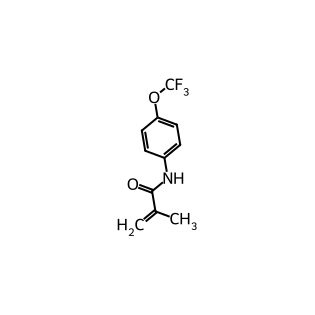 C=C(C)C(=O)Nc1ccc(OC(F)(F)F)cc1